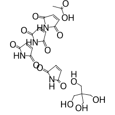 CC(=O)O.O=C1C=CC(=O)N1.O=C1C=CC(=O)N1.O=C1C=CC(=O)N1.O=C1C=CC(=O)N1.OCC(CO)(CO)CO